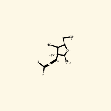 B[C@@H]1O[C@H](CO)C(O)[C@]1(F)C=C=C(F)F